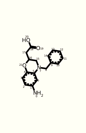 Nc1ccc2c(c1)N(Cc1ccccc1)CC(CC(=O)O)O2